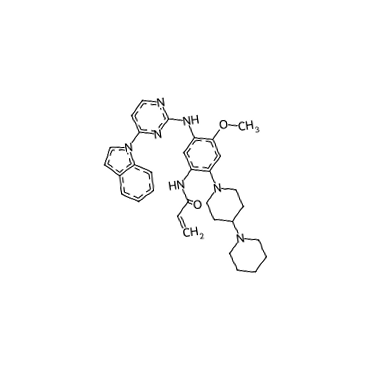 C=CC(=O)Nc1cc(Nc2nccc(-n3ccc4ccccc43)n2)c(OC)cc1N1CCC(N2CCCCC2)CC1